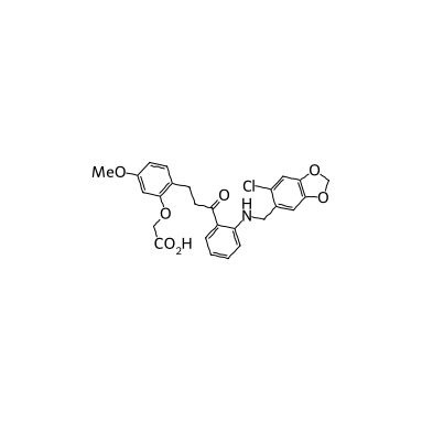 COc1ccc(CCC(=O)c2ccccc2NCc2cc3c(cc2Cl)OCO3)c(OCC(=O)O)c1